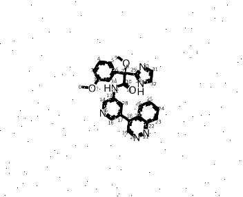 COc1cccc([C@@](OC)(C(=O)Nc2cncc(-c3cnnc4ccccc34)c2)c2ncc[nH]2)c1